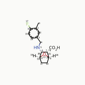 Cc1cc(CN[C@@H]2[C@H](C(=O)O)[C@H]3CC[C@@H]2O3)ccc1F